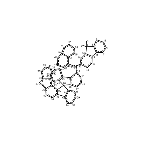 CC1(C)c2ccccc2-c2ccc(N(c3cccc4c3-c3ccccc3C43c4ccccc4-c4ccc5sc6ccccc6c5c43)c3cccc4ccccc34)cc21